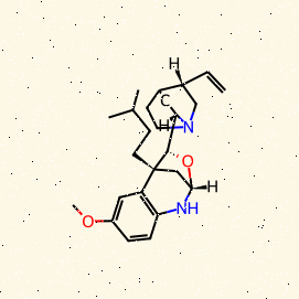 C=C[C@@H]1CN2CCC1C[C@H]2[C@@H]1O[C@H]2C[C@]1(CCC(C)C)c1cc(OC)ccc1N2